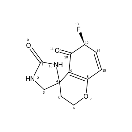 O=C1NCC2(CCOC3=C2C(=O)[C@@H](F)C=C3)N1